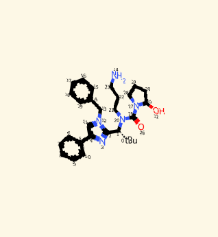 CC(C)(C)[C@H](c1nc(-c2ccccc2)cn1Cc1ccccc1)N(CCCN)C(=O)N1CCCC1O